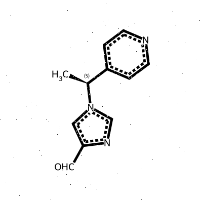 C[C@@H](c1ccncc1)n1cnc(C=O)c1